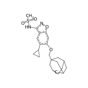 CS(=O)(=O)Nc1noc2cc(OCC34CC5CCC(CC(C5)C3)C4)c(C3CC3)cc12